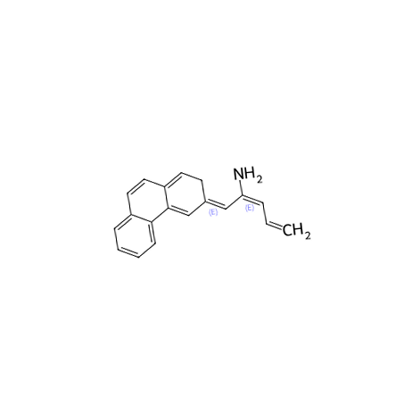 C=C/C=C(N)\C=C1\C=c2c(ccc3ccccc23)=CC1